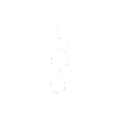 O=C1Nc2ccc(O)cc2CCN1C1CCNCC1